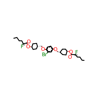 CCCC[C@H](F)C(=O)O[C@H]1CC[C@H](COc2ccc(OC[C@H]3CC[C@H](OC(=O)[C@@H](F)CCCC)CC3)c(Br)c2)CC1